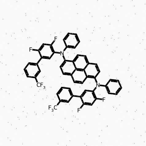 Fc1cc(F)c(N(c2ccccc2)c2ccc3ccc4c(N(c5ccccc5)c5cc(-c6cccc(C(F)(F)F)c6)c(F)cc5F)ccc5ccc2c3c54)cc1-c1cccc(C(F)(F)F)c1